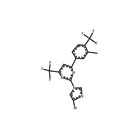 Cc1cc(-c2cc(C(F)(F)F)nc(-n3cnc(Br)c3)n2)ccc1C(F)(F)F